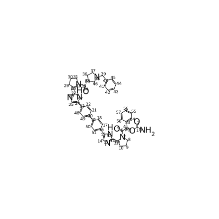 NC(=O)O[C@@H](C(=O)N1CCC[C@H]1c1ncc(-c2ccc(-c3ccc(-c4cnc([C@@H]5CCCN5C(=O)[C@@H]5CCN(Cc6ccccc6)C5)[nH]4)cc3)cc2)[nH]1)c1ccccc1